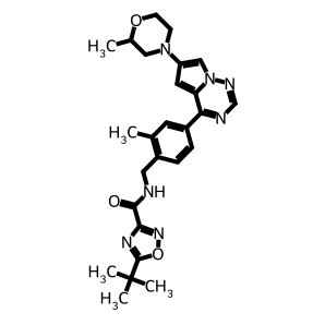 Cc1cc(-c2ncnn3cc(N4CCOC(C)C4)cc23)ccc1CNC(=O)c1noc(C(C)(C)C)n1